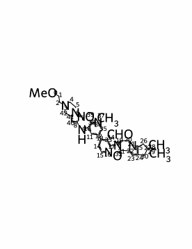 COCCN1CCn2nc(Nc3cc(-c4ccnc(N5CCn6c(cc7c6CC(C)(C)C7)C5=O)c4C=O)cn(C)c3=O)cc2C1